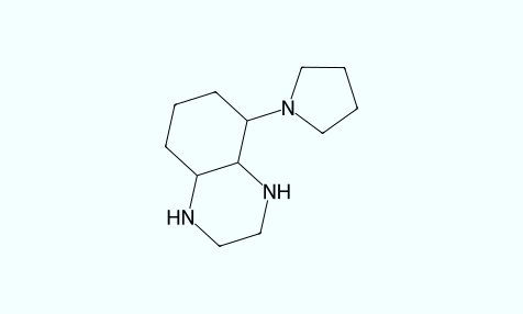 C1CC2NCCNC2C(N2CCCC2)C1